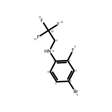 Fc1cc(Br)ccc1NCC(F)(F)F